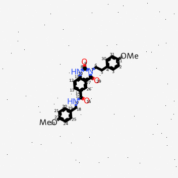 COc1ccc(CCn2c(=O)[nH]c3ccc(C(=O)NCc4ccc(OC)cc4)cc3c2=O)cc1